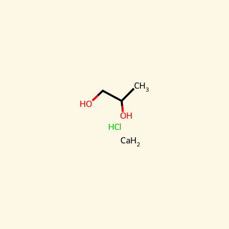 CC(O)CO.Cl.[CaH2]